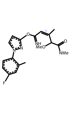 CNC(=O)C(OC)/C(C)=C\C(=N)Oc1ccn(-c2ccc(F)cc2C)n1